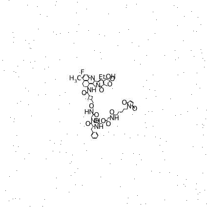 CC[C@@]1(O)C(=O)OCc2c1cc1n(c2=O)Cc2c-1nc1cc(F)c(C)c3c1c2[C@@H](NC(=O)C1CC(COCNC(=O)CNC(=O)[C@H](Cc2ccccc2)NC(=O)COC(=O)CNC(=O)CCCCCN2C(=O)C=CC2=O)C1)CC3